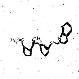 COC1CCCC1C(C)c1cccc(OCc2ccc3ccccc3n2)c1